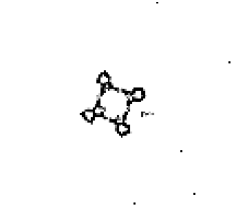 [Fe+2].c1ccc2c(c1)-c1nc-2nc2[n-]c(nc3nc(nc4[n-]c(n1)c1ccccc41)-c1ccccc1-3)c1ccccc21